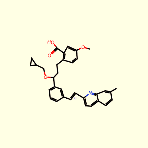 COc1ccc(CCC(OCC2CC2)c2cccc(/C=C/c3ccc4ccc(C)cc4n3)c2)c(C(=O)O)c1